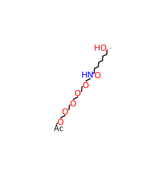 CC(=O)COCCOCCOCCOCCOCCNC(=O)CCCCCC[C@@H](C)O